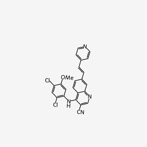 COc1cc(Nc2c(C#N)cnc3cc(/C=C/c4ccncc4)ccc23)c(Cl)cc1Cl